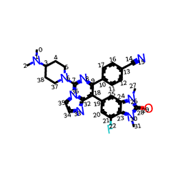 CN(C)C1CCN(c2nc(-c3ccc(C#N)cc3)c(-c3cc(F)c4c(c3)n(C)c(=O)n4C)c3nccn23)CC1